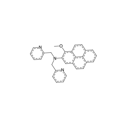 COc1c(N(Cc2ccccn2)Cc2ccccn2)cc2ccc3cccc4ccc1c2c34